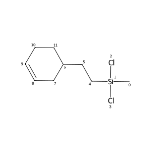 C[Si](Cl)(Cl)CCC1CC=CCC1